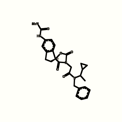 CNC(=O)Nc1ccc2c(c1)CC[C@]21OC(=O)N(CC(=O)N(Cc2ccccc2)C(C)C2CC2)C1=O